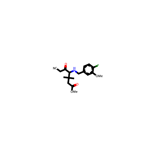 COC(=O)CC(C)(C)C(NCc1ccc(F)c(OC)c1)C(=O)CC#N